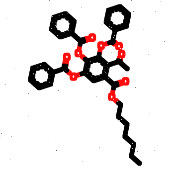 CCCCCCCOC(=O)c1cc(OC(=O)c2ccccc2)c(OC(=O)c2ccccc2)c(OC(=O)c2ccccc2)c1C(C)=O